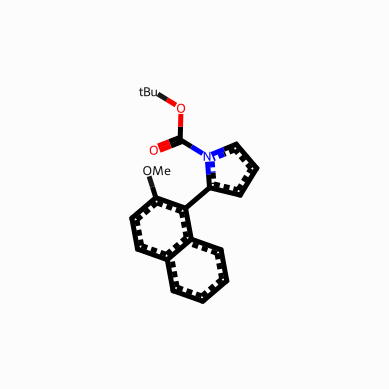 COc1ccc2ccccc2c1-c1cccn1C(=O)OC(C)(C)C